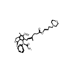 COc1c(C)c2c(c(N(C(N)=O)c3ccccc3)c1C/C=C(\C)CCC(=O)OCCCCN1CCOCC1)C(=O)OC2